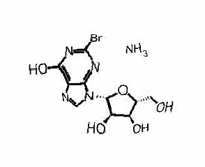 N.OC[C@H]1O[C@@H](n2cnc3c(O)nc(Br)nc32)[C@H](O)[C@@H]1O